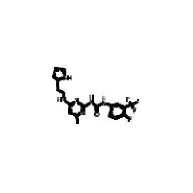 Cc1cc(NCCc2ccc[nH]2)nc(NC(=O)Nc2ccc(F)c(C(F)(F)F)c2)n1